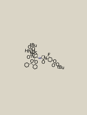 CC(C)(C)OC(=O)N[C@@H]1C(=O)N2C(C(=O)OC(c3ccccc3)c3ccccc3)=C(/C=C3\CCN(c4ccc(OC(=O)OC(C)(C)C)cc4F)C3=O)CS[C@H]12